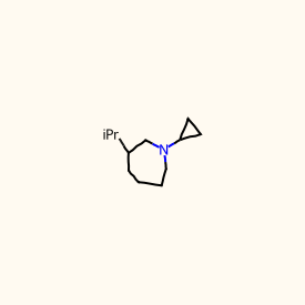 CC(C)C1CCCCN(C2CC2)C1